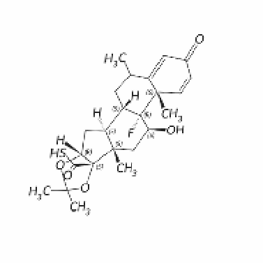 CC1C[C@H]2[C@@H]3C[C@H]4OC(C)(C)O[C@@]4(C(=O)S)[C@@]3(C)C[C@H](O)[C@]2(F)[C@@]2(C)C=CC(=O)C=C12